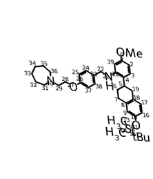 COc1ccc(C2CCc3cc(O[Si](C)(C)C(C)(C)C)ccc3C2)c(NCc2ccc(OCCN3CCCCCC3)cc2)c1